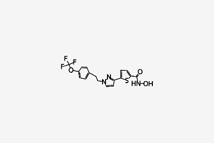 O=C(NO)c1ccc(-c2ccn(CCc3ccc(OC(F)(F)F)cc3)n2)s1